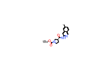 [CH2]c1ccc2cnc(NC(=O)[C@H]3CCN(C(=O)OC(C)(C)C)C3)cc2c1